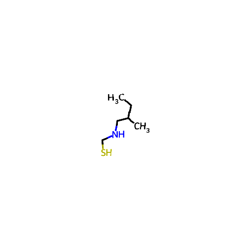 CCC(C)CNCS